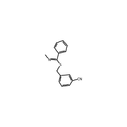 CN=C(SCc1cccc(C#N)c1)c1c[c]ccc1